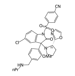 CCCNCc1ccc(C2(N3CCC[C@H]3c3ncco3)C(=O)N(S(=O)(=O)c3ccc(C#N)cc3)c3ccc(Cl)cc32)c(OC)c1